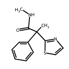 CNC(=O)C(C)(c1ccccc1)c1nccs1